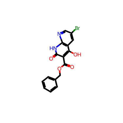 O=C(OCc1ccccc1)c1c(O)c2cc(Br)cnc2[nH]c1=O